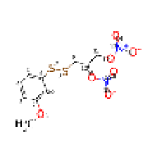 COc1cccc(SSCC(CO[N+](=O)[O-])O[N+](=O)[O-])c1